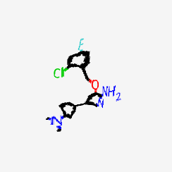 CN(C)c1ccc(-c2cnc(N)c(OCc3ccc(F)cc3Cl)c2)cc1